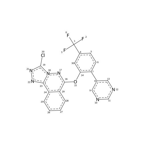 FC(F)(F)c1ccc(-c2cncnc2)c(Oc2nn3c(Cl)nnc3c3ccccc23)c1